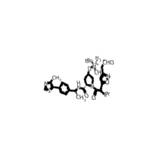 Cc1ncsc1-c1ccc([C@H](C)NC(=O)[C@@H]2CC(O[Si](C)(C)C(C)(C)C)CN2C(=O)C(c2cc(CC=O)no2)C(C)C)cc1